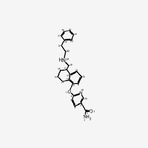 NC(=O)c1ccc(Oc2cccc3c2CCCC3CNCCc2ccccc2)nc1